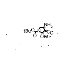 CO[C@H]1C(=C=O)[C@@H](N)CN1C(=O)OC(C)(C)C